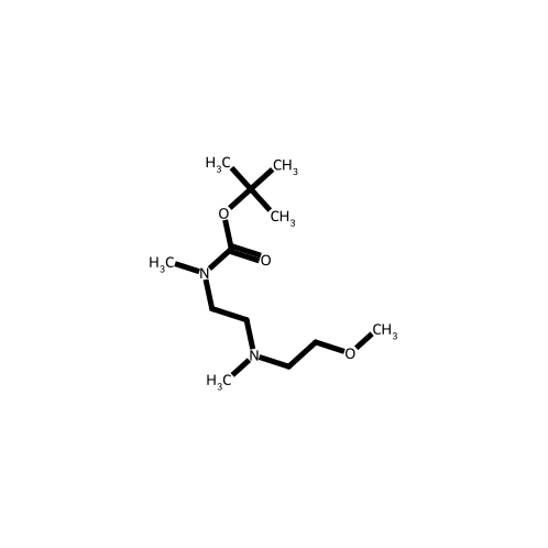 COCCN(C)CCN(C)C(=O)OC(C)(C)C